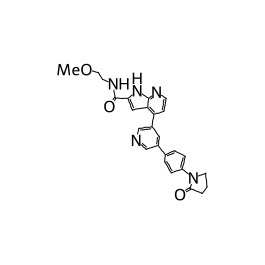 COCCNC(=O)c1cc2c(-c3cncc(-c4ccc(N5CCCC5=O)cc4)c3)ccnc2[nH]1